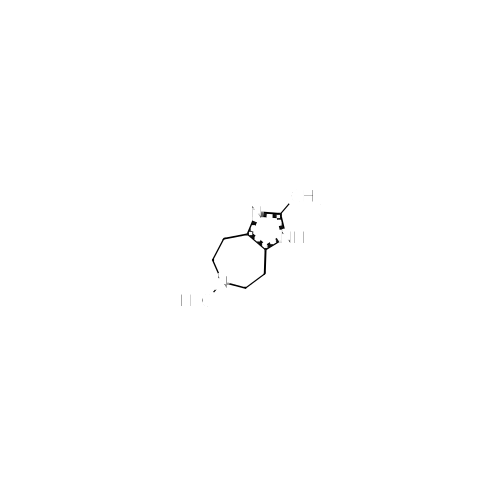 Cc1nc2c([nH]1)CCN(C)CC2